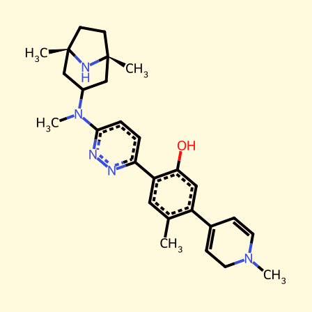 Cc1cc(-c2ccc(N(C)C3C[C@]4(C)CC[C@](C)(C3)N4)nn2)c(O)cc1C1=CCN(C)C=C1